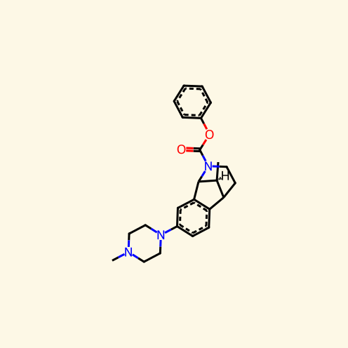 C[C@H]1C2CCN(C(=O)Oc3ccccc3)C1c1cc(N3CCN(C)CC3)ccc12